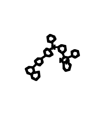 c1ccc(-c2c(-c3cccc(N(c4ccccc4)c4ccc(-c5ccc(-c6cccc7ccccc67)cc5)cc4)c3)nc3ccccn23)cc1